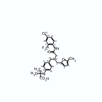 Cc1ccc(CN(CC(=O)Nc2ccc(Cl)cc2C(F)(F)F)Cc2ccc(SC(C)(C)C(=O)O)cc2)o1